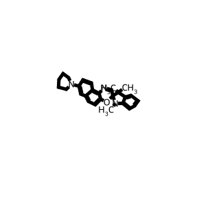 CN1c2ccccc2C(C)(C)C12C=Nc1c(ccc3cc(N4CCCCC4)ccc13)O2